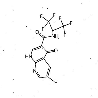 O=C(NC(C(F)(F)F)C(F)(F)F)c1c[nH]c2ncc(F)cc2c1=O